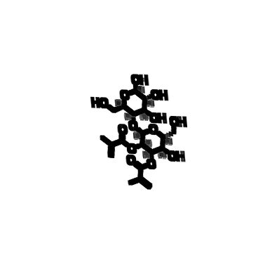 C=C(C)C(=O)O[C@H]1[C@@H](O[C@H]2[C@H](O)[C@@H](O)[C@H](O)O[C@@H]2CO)O[C@H](CO)[C@@H](O)[C@@H]1OC(=O)C(=C)C